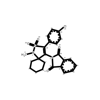 CN1C2(CCCCC2)C(N2C(=O)c3ccccc3C2=O)=C(c2ccc(Cl)cc2)S1(=O)=O